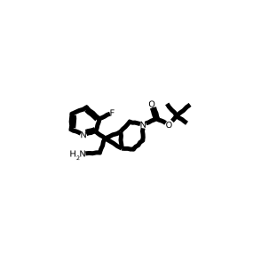 CC(C)(C)OC(=O)N1CCC2C(C1)C2(CN)c1ncccc1F